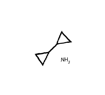 C1CC1C1CC1.N